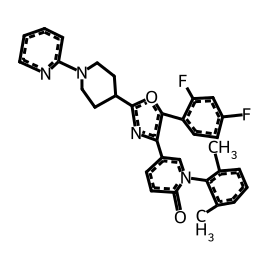 Cc1cccc(C)c1-n1cc(-c2nc(C3CCN(c4ccccn4)CC3)oc2-c2ccc(F)cc2F)ccc1=O